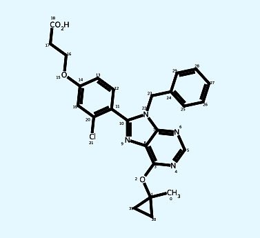 CC1(Oc2ncnc3c2nc(-c2ccc(OCCC(=O)O)cc2Cl)n3Cc2ccccc2)CC1